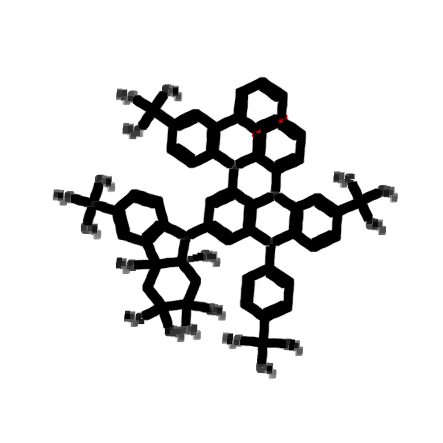 CC(C)(C)c1ccc(N2c3ccc(C(C)(C)C)cc3B3c4ccccc4N(c4ccc(C(C)(C)C)cc4-c4ccccc4)c4cc(N5c6ccc([Si](C)(C)C)cc6C6(C)CC(C)(C)C(C)(C)C[C@]56C)cc2c43)cc1